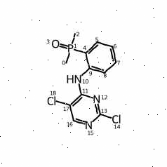 CP(C)(=O)c1ccccc1Nc1nc(Cl)ncc1Cl